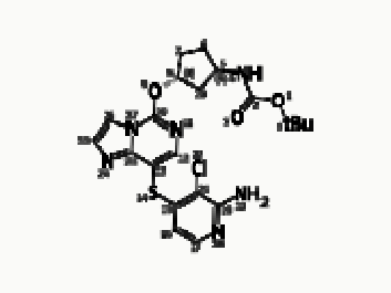 CC(C)(C)OC(=O)N[C@@H]1CC[C@@H](Oc2ncc(Sc3ccnc(N)c3Cl)c3nccn23)C1